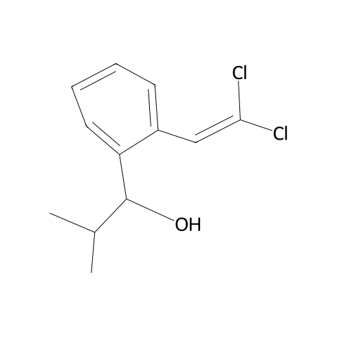 CC(C)C(O)c1ccccc1C=C(Cl)Cl